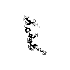 C[Si](C)(C)CCOCn1ccc2c(-c3cnn([C@]4(CC#N)C[C@H](N5CCC(Oc6cc(C(N)=O)cc(C(F)(F)F)n6)CC5)C4)c3)ncnc21